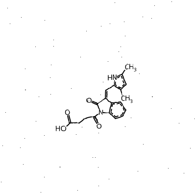 Cc1cc(C)c(C=C2C(=O)N(C(=O)CCC(=O)O)c3ccccc32)[nH]1